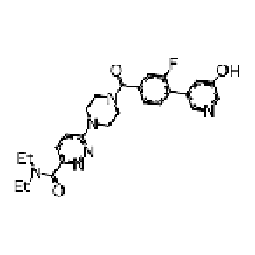 CCN(CC)C(=O)c1ccc(N2CCN(C(=O)c3ccc(-c4cncc(O)c4)c(F)c3)CC2)nn1